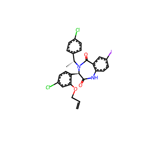 C=CCOc1cc(Cl)ccc1[C@@H]1C(=O)Nc2ccc(I)cc2C(=O)N1[C@H](C)c1ccc(Cl)cc1